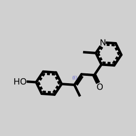 C/C(=C\C(=O)c1cccnc1C)c1ccc(O)cc1